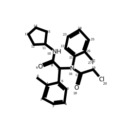 Cc1ccccc1C(C(=O)NC1CCCC1)N(C(=O)CCl)c1ccccc1F